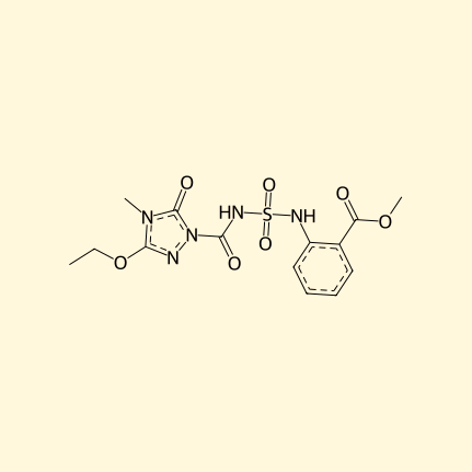 CCOc1nn(C(=O)NS(=O)(=O)Nc2ccccc2C(=O)OC)c(=O)n1C